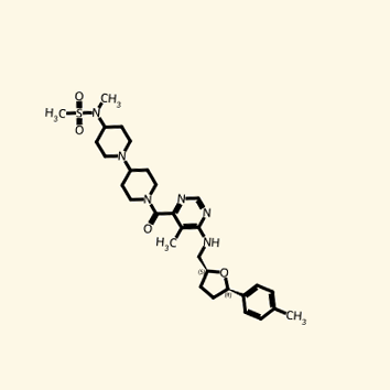 Cc1ccc([C@H]2CC[C@@H](CNc3ncnc(C(=O)N4CCC(N5CCC(N(C)S(C)(=O)=O)CC5)CC4)c3C)O2)cc1